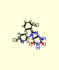 O=c1[nH]c(=O)c2c(nc(-c3ccccc3Cl)n2-c2ccc(Cl)nc2)[nH]1